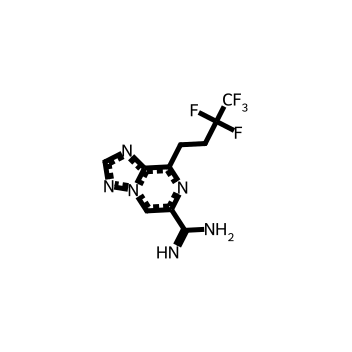 N=C(N)c1cn2ncnc2c(CCC(F)(F)C(F)(F)F)n1